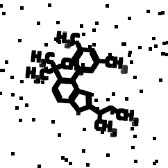 CCC(C)C1=Cc2c(ccc(C(C)(C)C)c2-c2cc(C)cc(C)c2)[CH]1